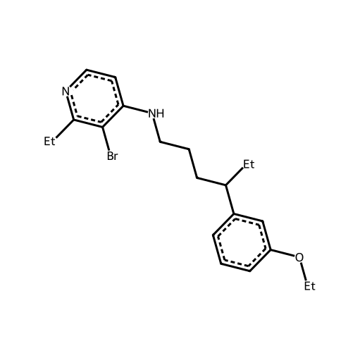 CCOc1cccc(C(CC)CCCNc2ccnc(CC)c2Br)c1